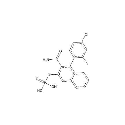 Cc1cc(Cl)ccc1-c1c(C(N)=O)c(OP(=O)(O)O)cc2ccccc12